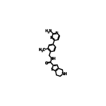 Cc1cc(-c2ccnc(N)n2)ccc1CNC(=O)c1cc2c(s1)CCNC2